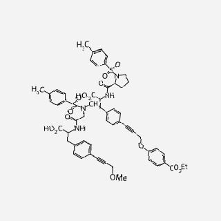 CCOC(=O)c1ccc(OCC#Cc2ccc(CC(NC(=O)[C@@H]3CCCN3S(=O)(=O)c3ccc(C)cc3)C(=O)O)cc2)cc1.COCC#Cc1ccc(CC(NC(=O)CN(C)S(=O)(=O)c2ccc(C)cc2)C(=O)O)cc1